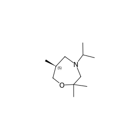 CC(C)N1C[C@H](C)COC(C)(C)C1